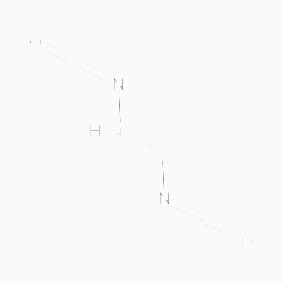 O=C=NO[SiH2]N=C=O